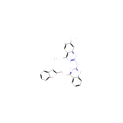 Cc1cc2nc(Nc3nc(OCc4cc5ccccc5o4)c4ccccc4n3)nc(C)c2cc1C